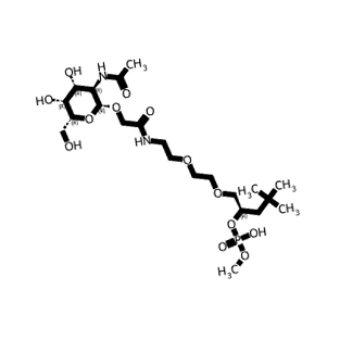 COP(=O)(O)O[C@@H](COCCOCCNC(=O)CO[C@@H]1O[C@H](CO)[C@H](O)[C@H](O)[C@H]1NC(C)=O)CC(C)(C)C